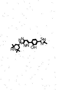 Cc1nsc(-c2ccc(-c3cc4nnn(C5CC(C)(C)NC(C)(C)C5)c4nn3)c(O)c2)n1